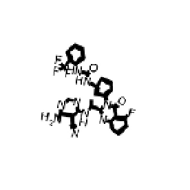 CC(Nc1ncnc(N)c1C#N)c1nc2cccc(F)c2c(=O)n1-c1cccc(NC(=O)Nc2ccccc2C(F)(F)F)c1